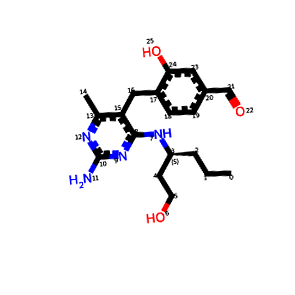 CCC[C@@H](CCO)Nc1nc(N)nc(C)c1Cc1ccc(C=O)cc1O